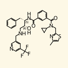 Cc1csc(CN(C(=O)c2cccc(C(=O)N[C@@H](Cc3ccccc3)[C@H](O)CNCc3cncc(C(F)(F)F)c3)c2)C2CC2)n1